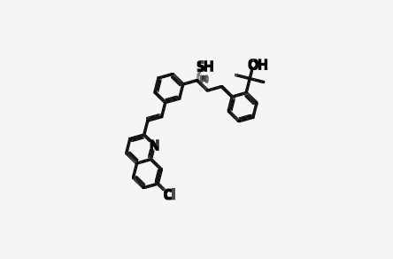 CC(C)(O)c1ccccc1CC[C@@H](S)c1cccc(C=Cc2ccc3ccc(Cl)cc3n2)c1